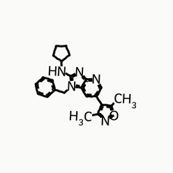 Cc1noc(C)c1-c1cnc2nc(NC3CCCC3)n(Cc3ccccc3)c2c1